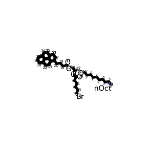 CCCCCCCC/C=C\CCCCCCCCOC[C@@H](COC(=O)CCCc1ccc2ccc3cccc4ccc1c2c34)OC(=O)CCCCCBr